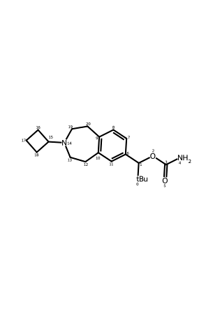 CC(C)(C)C(OC(N)=O)c1ccc2c(c1)CCN(C1CCC1)CC2